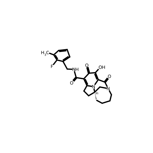 Cc1cccc(CNC(=O)c2c3n4c(c(O)c2=O)C(=O)N2CCCC[C@@]4(CC3)C2)c1F